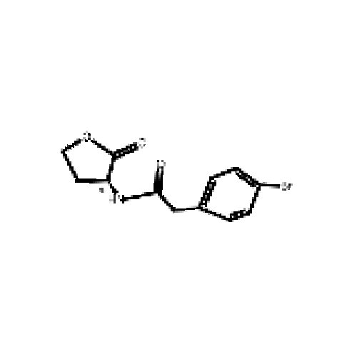 O=C(Cc1ccc(Br)cc1)N[C@H]1CCOC1=O